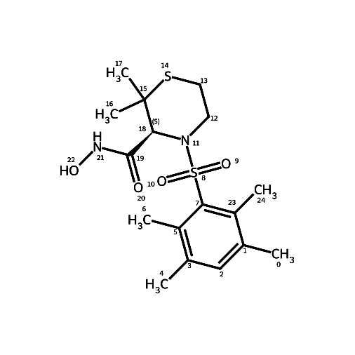 Cc1cc(C)c(C)c(S(=O)(=O)N2CCSC(C)(C)[C@@H]2C(=O)NO)c1C